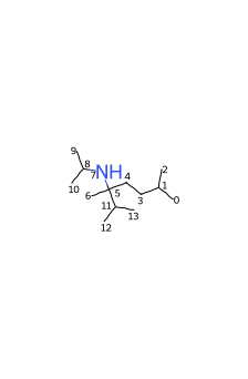 CC(C)CCC(C)(NC(C)C)C(C)C